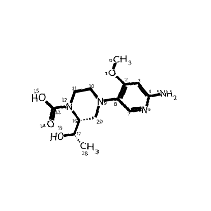 COc1cc(N)ncc1N1CCN(C(=O)O)[C@@H]([C@H](C)O)C1